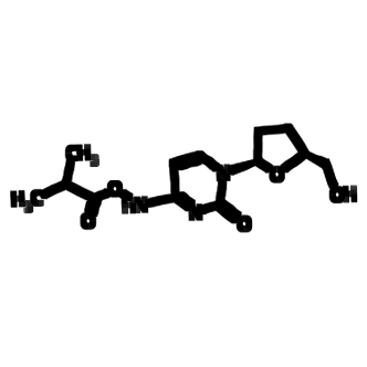 CC(C)C(=O)ONc1ccn([C@H]2CC[C@@H](CO)O2)c(=O)n1